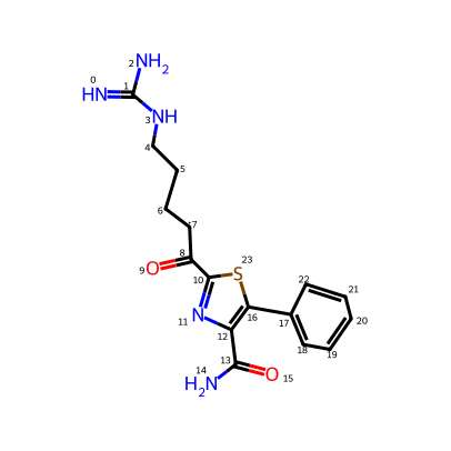 N=C(N)NCCC[CH]C(=O)c1nc(C(N)=O)c(-c2ccccc2)s1